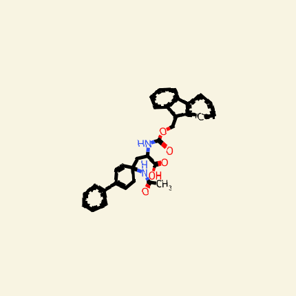 CC(=O)NC1(CC(NC(=O)OCC2c3ccccc3-c3ccccc32)C(=O)O)C=CC(c2ccccc2)=CC1